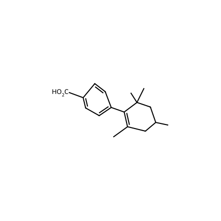 CC1=C(c2ccc(C(=O)O)cc2)C(C)(C)CC(C)C1